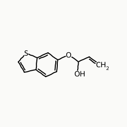 C=CC(O)Oc1ccc2ccsc2c1